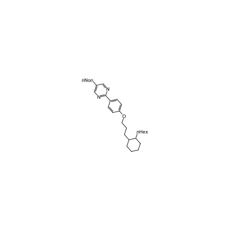 CCCCCCCCCc1cnc(-c2ccc(OCCCC3CCCCC3CCCCCC)cc2)nc1